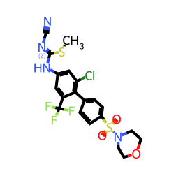 CS/C(=N\C#N)Nc1cc(Cl)c(-c2ccc(S(=O)(=O)N3CCOCC3)cc2)c(C(F)(F)F)c1